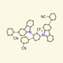 N#Cc1cccc(-c2ccc(-n3c4ccccc4c4cc(-c5ccccc5C#N)ccc43)c(C(F)(F)F)c2-n2c3ccccc3c3cc(-c4ccccc4C#N)ccc32)c1